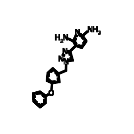 Nc1ccc(-c2cn(Cc3cccc(Oc4ccccc4)c3)nn2)c(N)n1